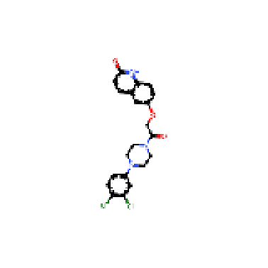 O=C(COc1ccc2[nH]c(=O)ccc2c1)N1CCN(c2ccc(Cl)c(Cl)c2)CC1